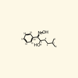 CC(C)CCC(O)C(=NO)c1ccccc1